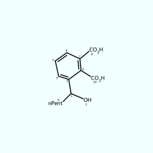 CCCCCC(O)c1cccc(C(=O)O)c1C(=O)O